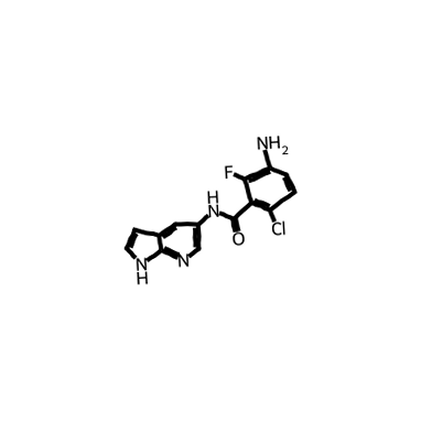 Nc1ccc(Cl)c(C(=O)Nc2cnc3[nH]ccc3c2)c1F